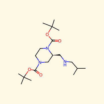 CC(C)CNC[C@H]1CN(C(=O)OC(C)(C)C)CCN1C(=O)OC(C)(C)C